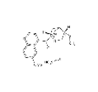 C=C[C@@H]1CN2CCC1C[C@H]2C(O)c1ccnc2ccc(OC)cc12.O=S(=O)(O)O